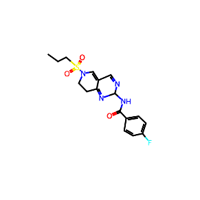 CCCS(=O)(=O)N1C=C2C=NC(NC(=O)c3ccc(F)cc3)N=C2CC1